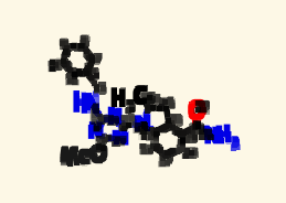 COc1nc(NCc2ccccc2)nc(N2c3cccc(C(N)=O)c3CC2C)n1